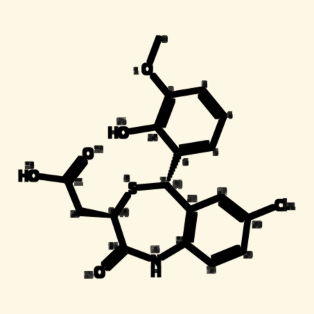 COc1cccc([C@H]2S[C@H](CC(=O)O)C(=O)Nc3ccc(Cl)cc32)c1O